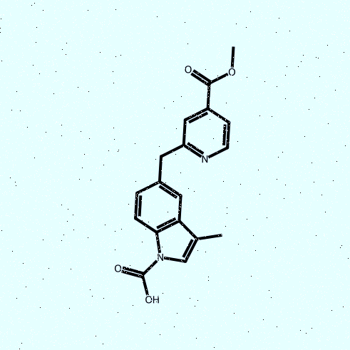 COC(=O)c1ccnc(Cc2ccc3c(c2)c(C)cn3C(=O)O)c1